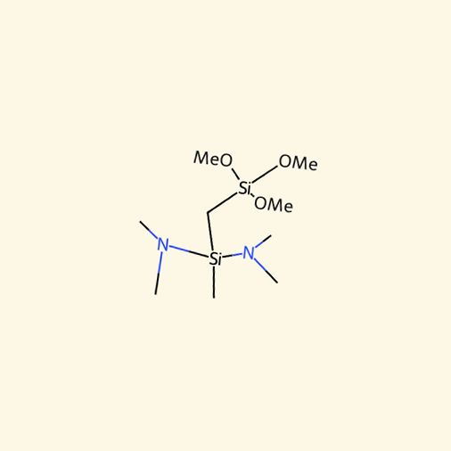 CO[Si](C[Si](C)(N(C)C)N(C)C)(OC)OC